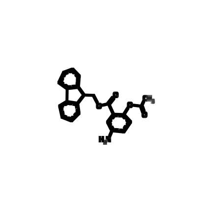 CC(=O)Oc1ccc(N)cc1C(=O)OCC1c2ccccc2-c2ccccc21